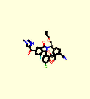 C=CCOC[C@@H](c1ccc(C#N)cc1)N1C(=O)c2cc(C(=O)c3cn(C)cn3)cc(F)c2[C@]1(O[C@H]1CCOC1)c1ccc(Cl)cc1